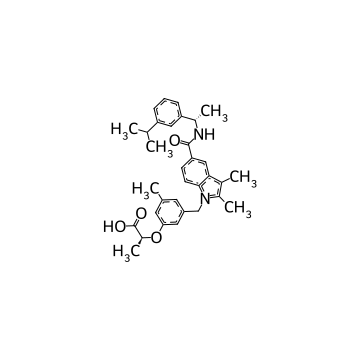 Cc1cc(Cn2c(C)c(C)c3cc(C(=O)N[C@@H](C)c4cccc(C(C)C)c4)ccc32)cc(O[C@@H](C)C(=O)O)c1